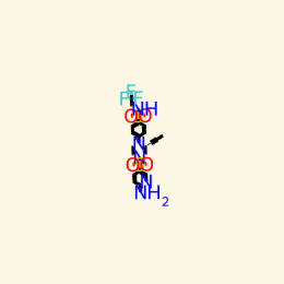 CC#C[C@@H]1CN(S(=O)(=O)c2ccc(N)nc2)CCN1c1ccc(S(=O)(=O)NCC(F)(F)F)cc1